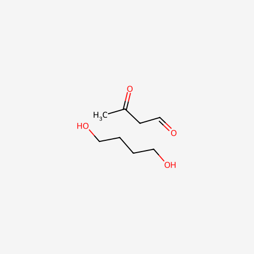 CC(=O)CC=O.OCCCCO